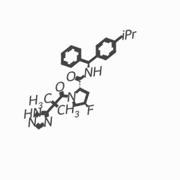 CC(C)c1ccc([C@@H](NC(=O)[C@@H]2C[C@@H](F)CN2C(=O)C(C)(C)c2ncn[nH]2)c2ccccc2)cc1